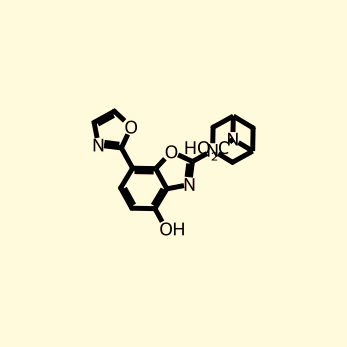 O=C(O)N1C2CC1CN(c1nc3c(O)ccc(-c4ncco4)c3o1)C2